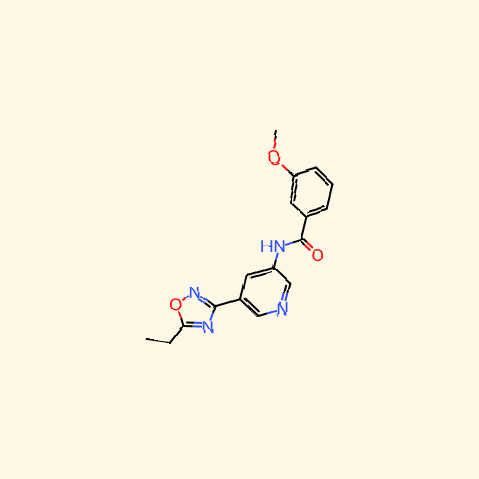 CCc1nc(-c2cncc(NC(=O)c3cccc(OC)c3)c2)no1